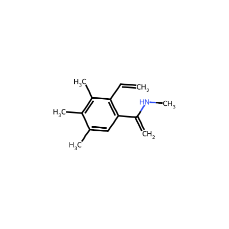 C=Cc1c(C(=C)NC)cc(C)c(C)c1C